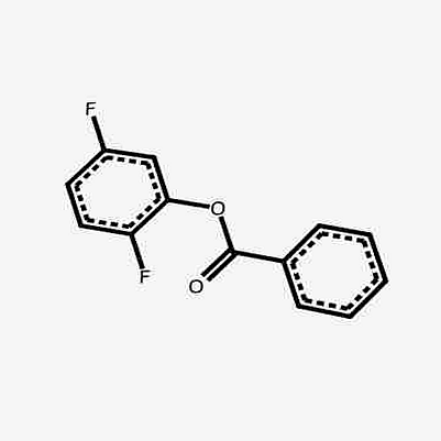 O=C(Oc1cc(F)ccc1F)c1ccccc1